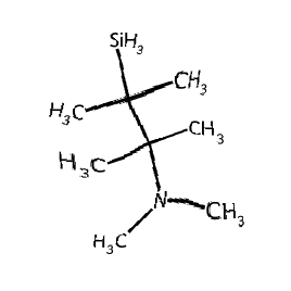 CN(C)C(C)(C)C(C)(C)[SiH3]